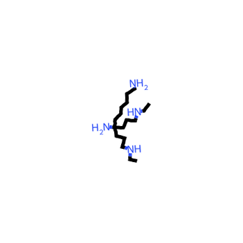 CCNCCCC(N)(CCCCCCN)CCCNCC